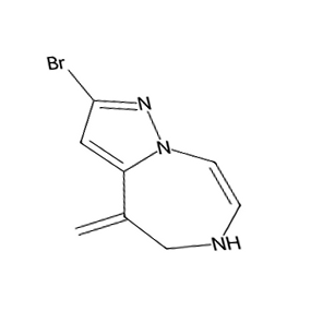 C=C1CNC=Cn2nc(Br)cc21